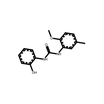 COc1ccc(C)cc1NC(=O)Nc1ccccc1O